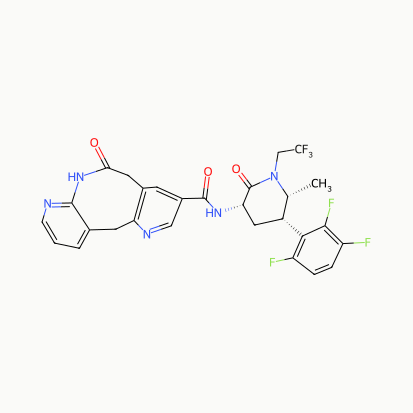 C[C@@H]1[C@H](c2c(F)ccc(F)c2F)C[C@H](NC(=O)c2cnc3c(c2)CC(=O)Nc2ncccc2C3)C(=O)N1CC(F)(F)F